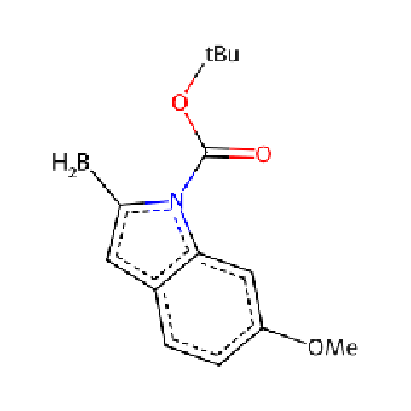 Bc1cc2ccc(OC)cc2n1C(=O)OC(C)(C)C